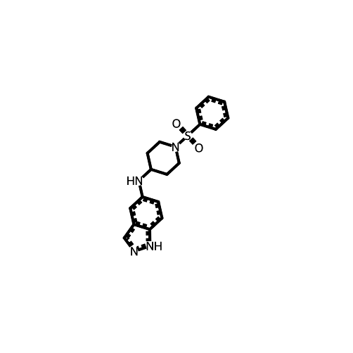 O=S(=O)(c1ccccc1)N1CCC(Nc2ccc3[nH]ncc3c2)CC1